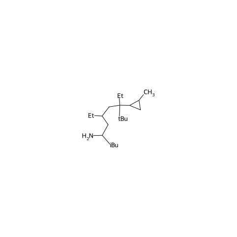 CCC(CC(N)C(C)CC)CC(CC)(C1CC1C)C(C)(C)C